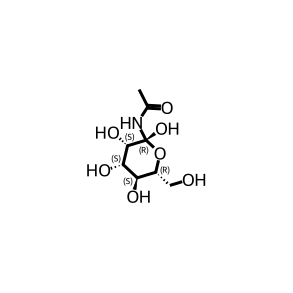 CC(=O)N[C@]1(O)O[C@H](CO)[C@@H](O)[C@H](O)[C@@H]1O